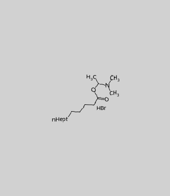 Br.CCCCCCCCCCCC(=O)OC(C)N(C)C